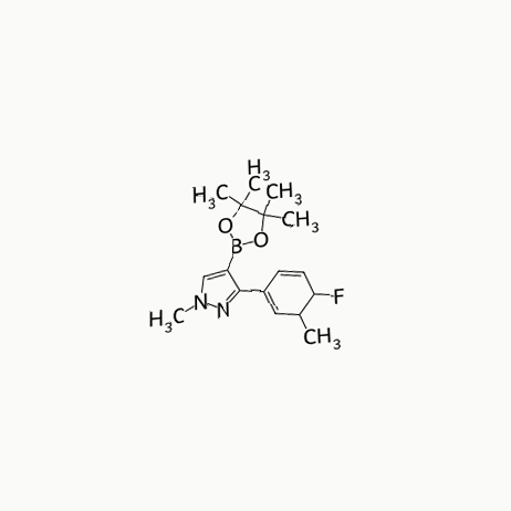 CC1C=C(c2nn(C)cc2B2OC(C)(C)C(C)(C)O2)C=CC1F